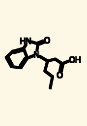 CCCC(CC(=O)O)n1c(=O)[nH]c2ccccc21